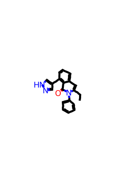 CCc1cc2cccc(-c3cn[nH]c3)c2c(=O)n1-c1ccccc1